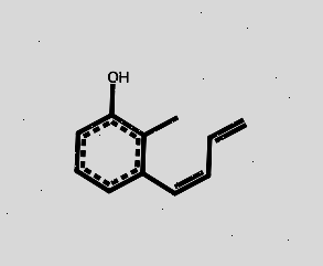 C=C/C=C\c1cccc(O)c1C